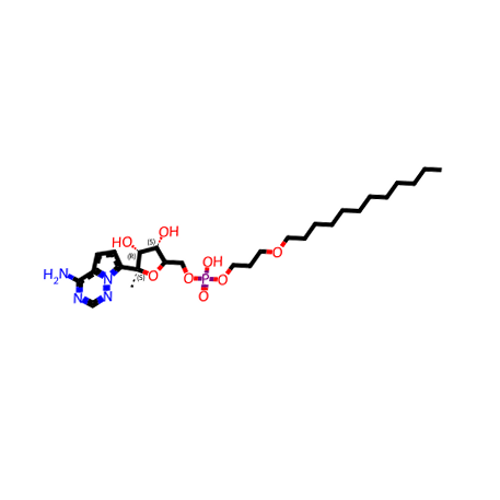 CCCCCCCCCCCCOCCCOP(=O)(O)OCC1O[C@@](C)(c2ccc3c(N)ncnn23)[C@H](O)[C@@H]1O